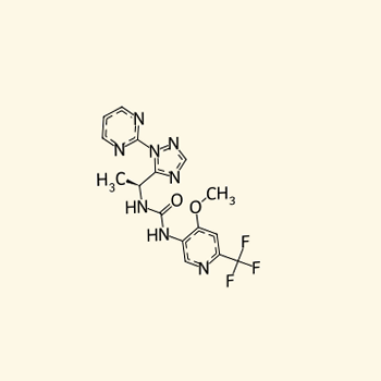 COc1cc(C(F)(F)F)ncc1NC(=O)N[C@@H](C)c1ncnn1-c1ncccn1